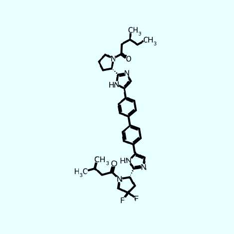 CCC(C)CC(=O)N1CCC[C@H]1c1ncc(-c2ccc(-c3ccc(-c4cnc([C@@H]5CC(F)(F)CN5C(=O)CC(C)C)[nH]4)cc3)cc2)[nH]1